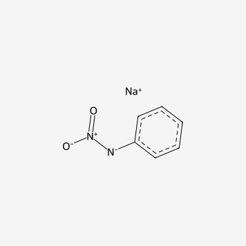 O=[N+]([O-])[N-]c1ccccc1.[Na+]